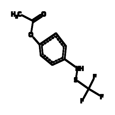 CC(=O)Oc1ccc(NSC(F)(F)F)cc1